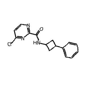 O=C(NC1CC(c2ccccc2)C1)c1nccc(Cl)n1